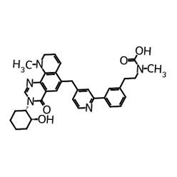 CN(CCc1cccc(-c2cc(Cc3cc4c(=O)n([C@H]5CCCC[C@@H]5O)cnc4c4c3C=CCN4C)ccn2)c1)C(=O)O